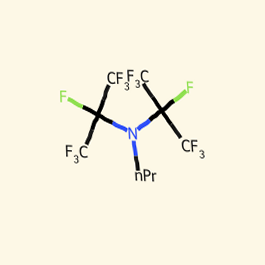 CCCN(C(F)(C(F)(F)F)C(F)(F)F)C(F)(C(F)(F)F)C(F)(F)F